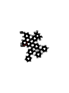 Cc1cc(-c2ccccc2)ccc1N1c2cc(N(c3ccccc3)c3ccccc3)ccc2B2c3cc4c(cc3N(c3ccc(C(C)(C)C)cc3-c3ccccc3)c3cc(C(C)(C)C)cc1c32)C(C)(C)CC4(C)C